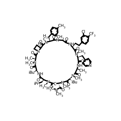 CC[C@H](C)[C@@H]1NC(=O)[C@H](CC(C)C)N(C)C(=O)C[C@@H](C(=O)N(C)C)N(C)C(=O)[C@H]([C@@H](C)CC)N(C)C(=O)[C@H](C)NC(=O)[C@H](Cc2ccncc2)N(C)C(=O)[C@H](CCc2ccc(C(F)(F)F)c(Cl)c2)NC(=O)CN(C)C(=O)[C@H](Cc2ccc(C)cc2)N(C)C(=O)[C@@H]2CCN2C(=O)[C@H](C)N(C)C1=O